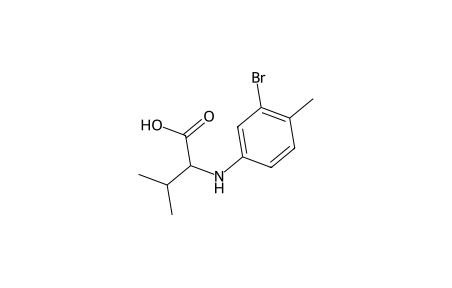 Cc1ccc(NC(C(=O)O)C(C)C)cc1Br